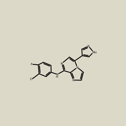 Fc1ccc(Nc2ncc(-c3cn[nH]c3)n3ccnc23)cc1Cl